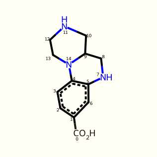 O=C(O)c1ccc2c(c1)NCC1CNCCN21